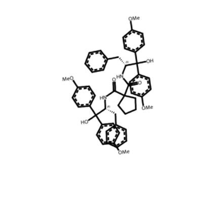 COc1ccc(C(O)(c2ccc(OC)cc2)[C@@H](Cc2ccccc2)NC(=O)C2(C(=O)N[C@H](Cc3ccccc3)C(O)(c3ccc(OC)cc3)c3ccc(OC)cc3)CCCC2)cc1